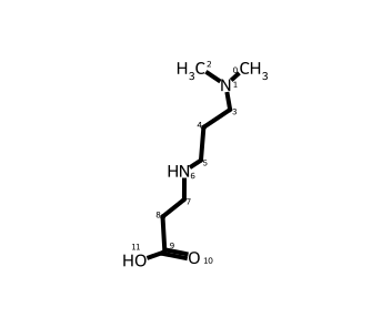 CN(C)CCCNCCC(=O)O